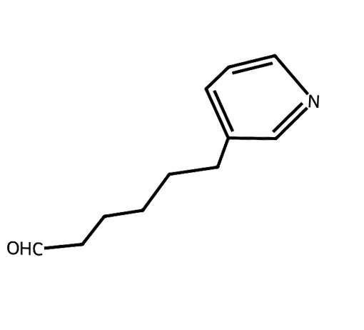 O=CCCCCCc1cccnc1